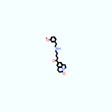 COc1cccc(CCNCCCCC(=O)c2cc3c4c(c2)CCN4C(=O)CC3)c1